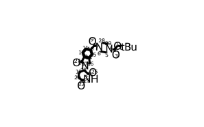 CC(C)(C)OC(=O)N1CCN(C(=O)c2ccc3c(c2)CN(C2CCC(=O)NC2=O)C3=O)CC1